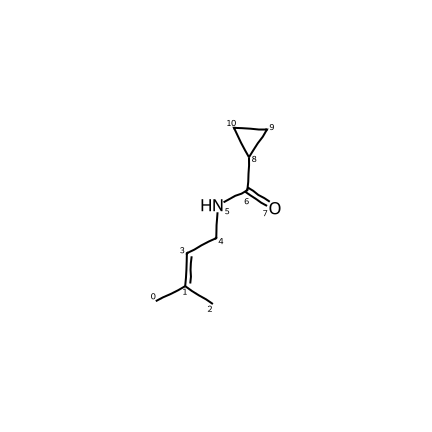 CC(C)=CCNC(=O)C1CC1